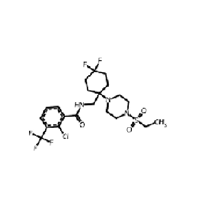 CCS(=O)(=O)N1CCN(C2(CNC(=O)c3cccc(C(F)(F)F)c3Cl)CCC(F)(F)CC2)CC1